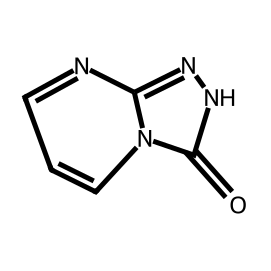 O=c1[nH]nc2ncccn12